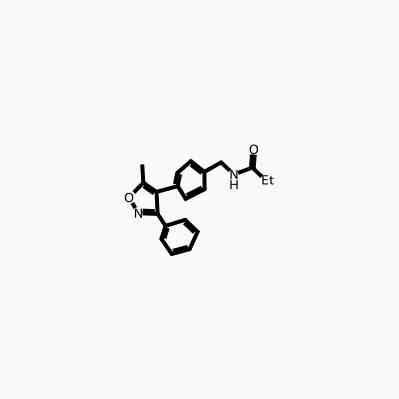 CCC(=O)NCc1ccc(-c2c(-c3ccccc3)noc2C)cc1